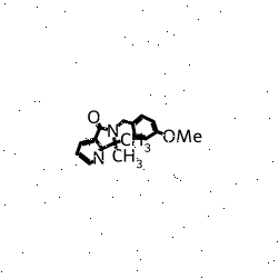 COc1ccc(CN2C(=O)c3cccnc3C2(C)C)cc1